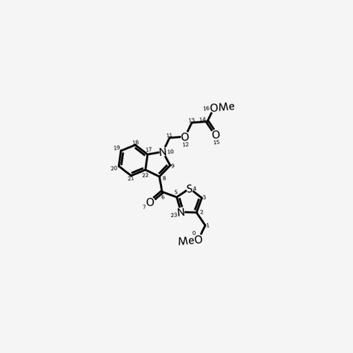 COCc1csc(C(=O)c2cn(COCC(=O)OC)c3ccccc23)n1